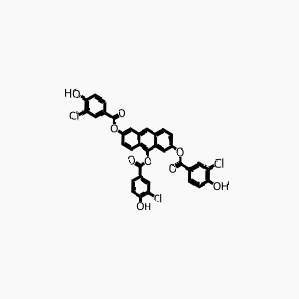 O=C(Oc1ccc2c(OC(=O)c3ccc(O)c(Cl)c3)c3cc(OC(=O)c4ccc(O)c(Cl)c4)ccc3cc2c1)c1ccc(O)c(Cl)c1